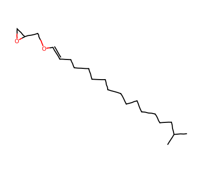 CC(C)CCCCCCCCCCCCCC=COCC1CO1